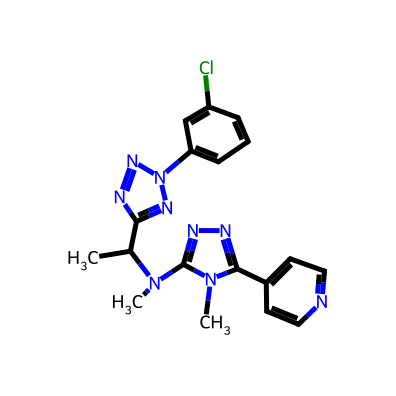 CC(c1nnn(-c2cccc(Cl)c2)n1)N(C)c1nnc(-c2ccncc2)n1C